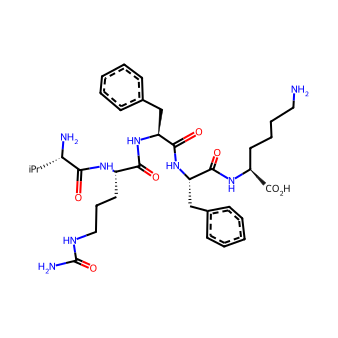 CC(C)[C@H](N)C(=O)N[C@@H](CCCNC(N)=O)C(=O)N[C@@H](Cc1ccccc1)C(=O)N[C@@H](Cc1ccccc1)C(=O)N[C@@H](CCCCN)C(=O)O